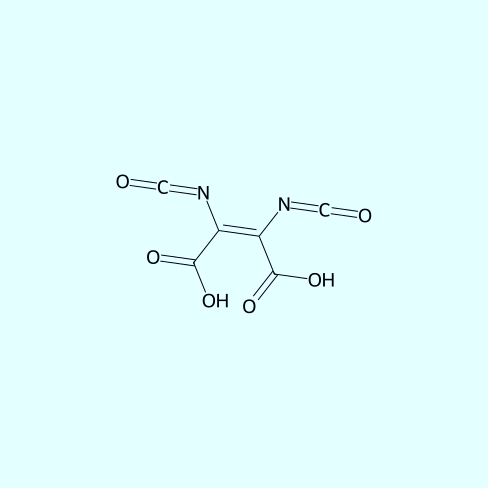 O=C=NC(C(=O)O)=C(N=C=O)C(=O)O